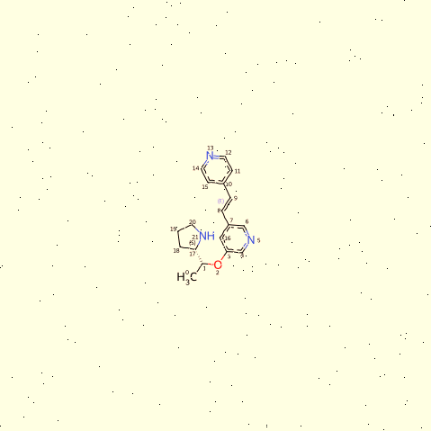 CC(Oc1cncc(/C=C/c2ccncc2)c1)[C@@H]1CCCN1